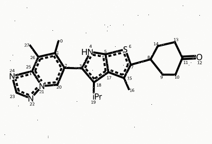 Cc1c(-c2[nH]c3sc(C4CCC(=O)CC4)c(C)c3c2C(C)C)cn2ncnc2c1C